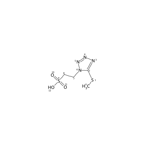 CSc1nnnn1CCS(=O)(=O)O